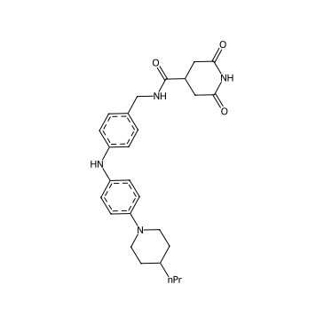 CCCC1CCN(c2ccc(Nc3ccc(CNC(=O)C4CC(=O)NC(=O)C4)cc3)cc2)CC1